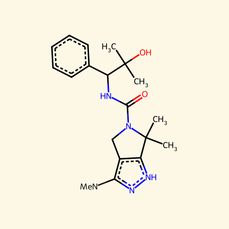 CNc1n[nH]c2c1CN(C(=O)NC(c1ccccc1)C(C)(C)O)C2(C)C